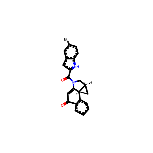 CCc1ccc2[nH]c(C(=O)N3C[C@H]4C[C@@]45C3=CC(=O)c3ccccc35)cc2c1